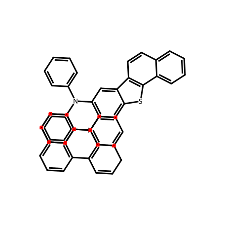 C1=CC(c2ccccc2)=C(N(c2ccccc2)c2cc3sc4c5ccccc5ccc4c3cc2N(c2ccccc2)c2ccccc2-c2ccccc2)CC1